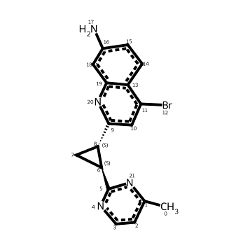 Cc1ccnc([C@H]2C[C@@H]2c2cc(Br)c3ccc(N)cc3n2)n1